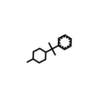 CC1CCC(C(C)(C)c2ccccc2)CC1